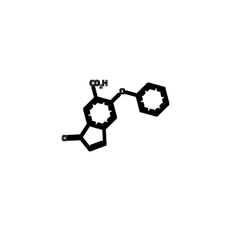 O=C1C=Cc2cc(Oc3ccccc3)c(C(=O)O)cc21